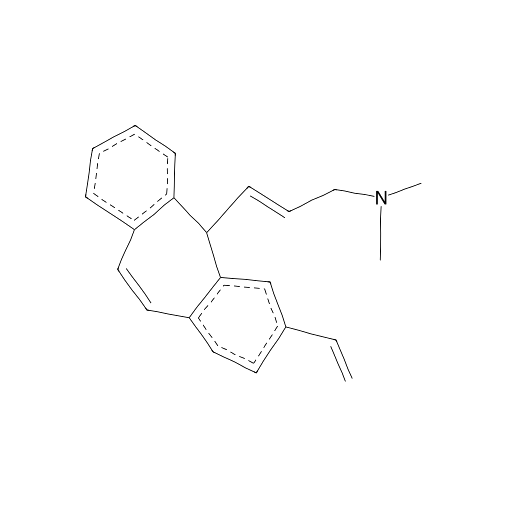 C=Cc1ccc2c(c1)C(C=CCN(C)C)c1ccccc1C=C2